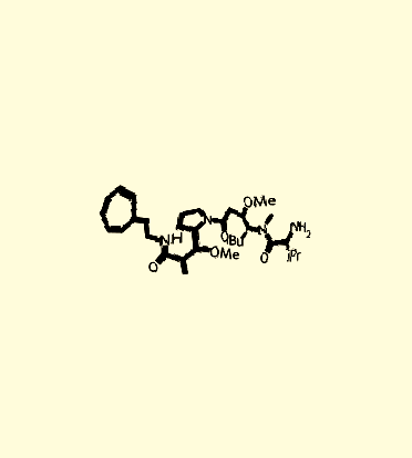 CCC(C)[C@@H](C(CC(=O)N1CCCC1C(OC)C(C)C(=O)NCCC1C=CC=CC=C1)OC)N(C)C(=O)[C@@H](N)C(C)C